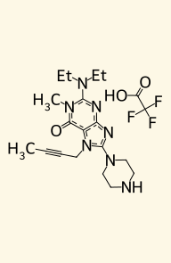 CC#CCn1c(N2CCNCC2)nc2nc(N(CC)CC)n(C)c(=O)c21.O=C(O)C(F)(F)F